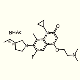 CC(=O)N[C@@H](C)[C@@H]1CCN(c2c(F)cc3c(OCCN(C)C)cc(=O)n(C4CC4)c3c2C)C1